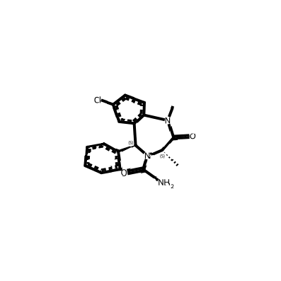 C[C@H]1C(=O)N(C)c2ccc(Cl)cc2[C@H](c2ccccc2)N1C(N)=O